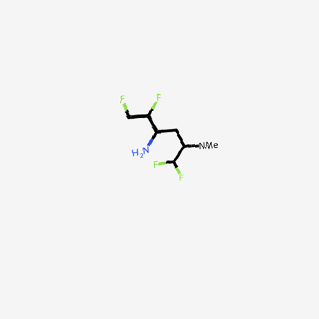 CNC(CC(N)C(F)CF)C(F)F